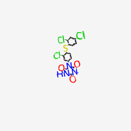 Cn1c(=O)[nH]c(=O)n(-c2ccc(Sc3ccc(Cl)cc3Cl)c(Cl)c2)c1=O